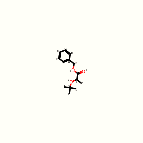 CC(OC(C)(C)C)C(=O)OCc1ccccc1